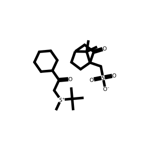 CC1(C)C2CCC1(CS(=O)(=O)[O-])C(=O)C2.C[S+](CC(=O)C1CCCCC1)C(C)(C)C